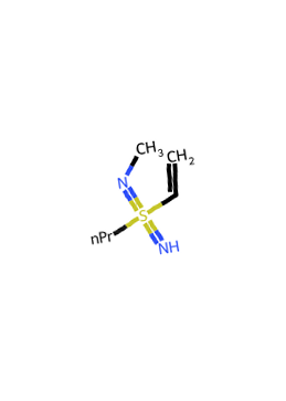 C=CS(=N)(CCC)=NC